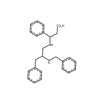 O=C(O)CC(NCC(Cc1ccccc1)NCc1ccccc1)c1ccccc1